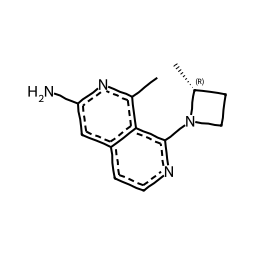 Cc1nc(N)cc2ccnc(N3CC[C@H]3C)c12